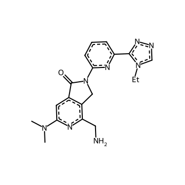 CCn1cnnc1-c1cccc(N2Cc3c(cc(N(C)C)nc3CN)C2=O)n1